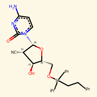 CC(C)CC[Si](OC[C@H]1O[C@@H](n2ccc(N)nc2=O)[C@@H](C#N)[C@@H]1O)(C(C)C)C(C)C